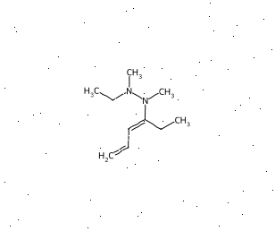 C=C/C=C(\CC)N(C)N(C)CC